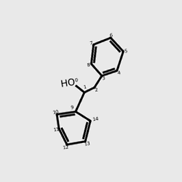 OC(Cc1ccccc1)c1c[c]ccc1